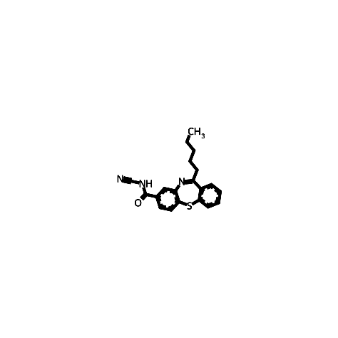 CCCCCC1=Nc2cc(C(=O)NC#N)ccc2Sc2ccccc21